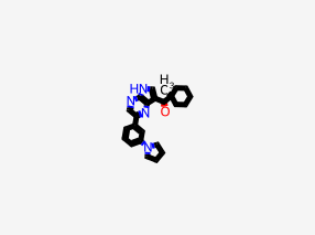 CC1(C(=O)c2c[nH]c3ncc(-c4cccc(N5CCCC5)c4)nc23)CCCCC1